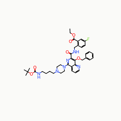 CCOC(=O)c1cc(F)ccc1CNC(=O)c1nc(N2CCN(CCCCNC(=O)OC(C)(C)C)CC2)c2cccnc2c1OCc1ccccc1